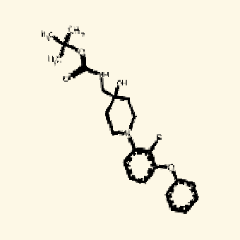 CC(C)(C)OC(=O)NCC1(O)CCN(c2cccc(Oc3ccccc3)c2F)CC1